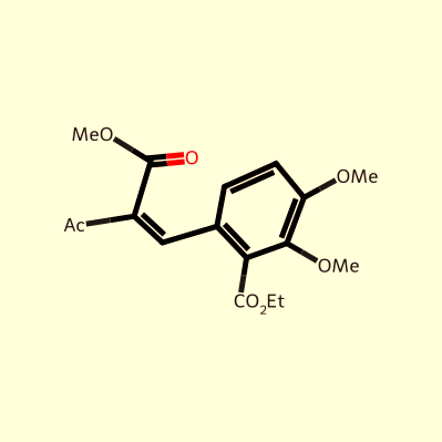 CCOC(=O)c1c(C=C(C(C)=O)C(=O)OC)ccc(OC)c1OC